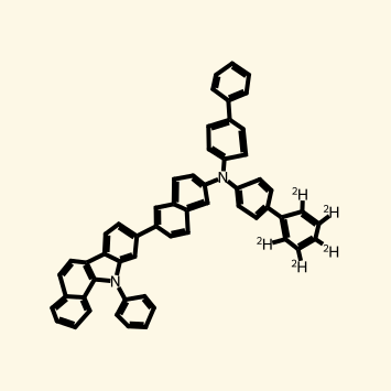 [2H]c1c([2H])c([2H])c(-c2ccc(N(c3ccc(-c4ccccc4)cc3)c3ccc4cc(-c5ccc6c7ccc8ccccc8c7n(-c7ccccc7)c6c5)ccc4c3)cc2)c([2H])c1[2H]